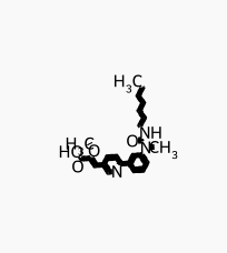 CCCCCCCNC(=O)N(C)c1cccc(-c2ccc(C=C(OC)C(=O)O)cn2)c1